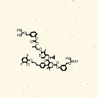 Cc1c(CN(C(=O)C2=C(c3ccc(CCCOc4c(F)ccc(F)c4Cl)cc3)C(C)(C)CN(C(=O)Oc3cccc(CON(O)O)c3)C2)C2CC2)ccnc1OCC(C)OC(=O)Oc1cccc(CON(O)O)c1